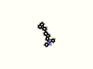 c1ccc(-c2nc3ccccc3n2-c2ccc3c(ccc4cc(-c5ccc6c(c5)-c5cccc7cccc-6c57)ccc43)c2)cc1